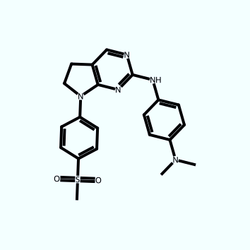 CN(C)c1ccc(Nc2ncc3c(n2)N(c2ccc(S(C)(=O)=O)cc2)CC3)cc1